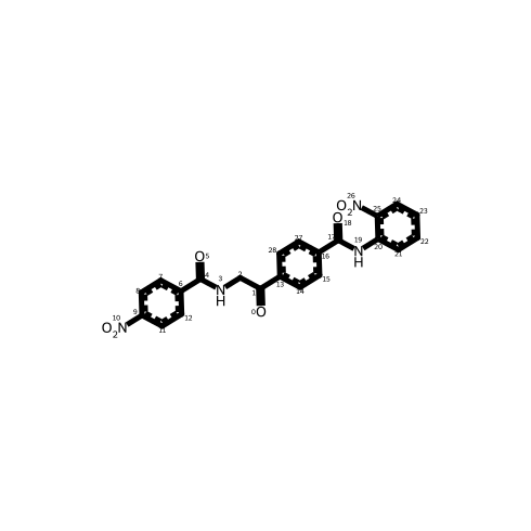 O=C(CNC(=O)c1ccc([N+](=O)[O-])cc1)c1ccc(C(=O)Nc2ccccc2[N+](=O)[O-])cc1